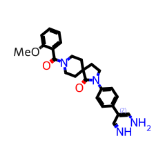 COc1ccccc1C(=O)N1CCC2(CC1)CCN(c1ccc(/C(C=N)=C/N)cc1)C2=O